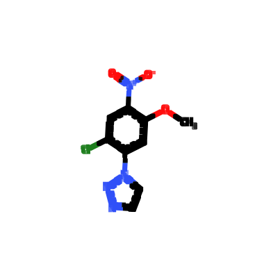 COc1cc(-n2ccnn2)c(Cl)cc1[N+](=O)[O-]